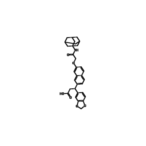 O=C(O)CC(c1ccc2c(c1)OCO2)c1ccc2ccc(OCC(=O)NC34CC5CC(CC(C5)C3)C4)cc2c1